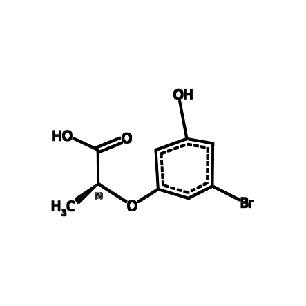 C[C@H](Oc1cc(O)cc(Br)c1)C(=O)O